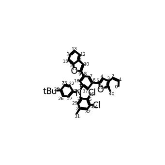 C/C=C\c1cc(-c2cc(-c3cc4ccccc4o3)cc(N(c3ccc(C(C)(C)C)cc3)c3cc(C)cc(Cl)c3Cl)c2)oc1C